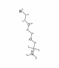 C[SiH](C)C(C)(C)COCCOCCBr